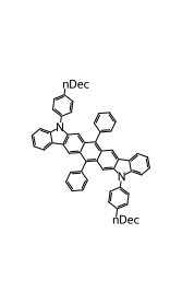 CCCCCCCCCCc1ccc(-n2c3ccccc3c3cc4c(-c5ccccc5)c5cc6c(cc5c(-c5ccccc5)c4cc32)c2ccccc2n6-c2ccc(CCCCCCCCCC)cc2)cc1